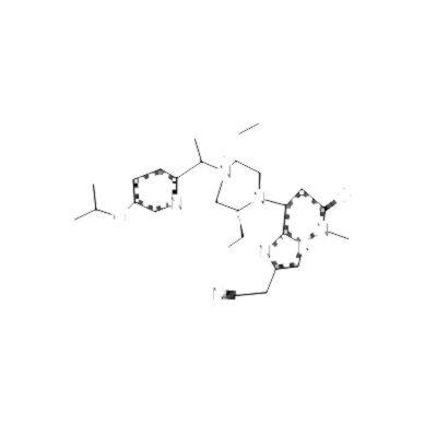 CC[C@H]1CN(C(C)c2ccc(OC(C)C)cn2)[C@H](CC)CN1c1cc(=O)n(C)n2cc(CC#N)nc12